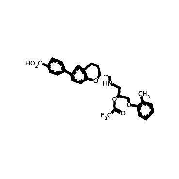 Cc1ccccc1OCC(CNC[C@H]1CCc2cc(-c3ccc(C(=O)O)cc3)ccc2O1)OC(=O)C(F)(F)F